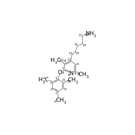 Cc1cc(C)c(Oc2nc(C)cc(CCCCCN)c2C)c(C)c1